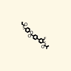 C=CC(=O)Sc1ccc(OC(=O)c2ccc(-c3ccc(SC(=O)C(=C)C)c(F)c3)cc2)cc1